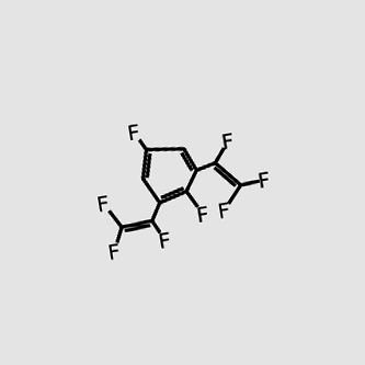 FC(F)=C(F)c1cc(F)cc(C(F)=C(F)F)c1F